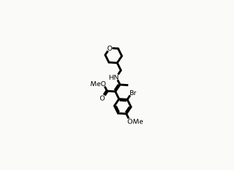 COC(=O)/C(=C(/C)NCC1CCOCC1)c1ccc(OC)cc1Br